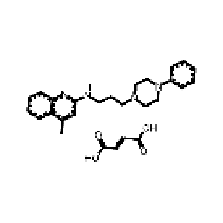 Cc1cc(NCCCN2CCN(c3ccccc3)CC2)nc2ccccc12.O=C(O)C=CC(=O)O